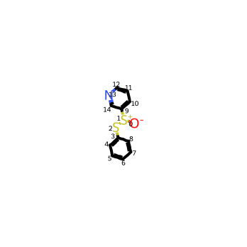 [O-][S+](Sc1ccccc1)c1cccnc1